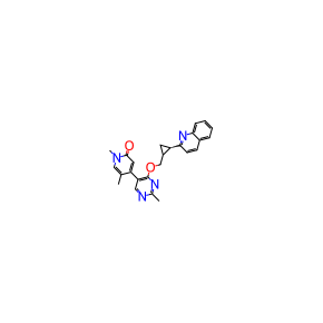 Cc1ncc(-c2cc(=O)n(C)cc2C)c(OCC2C[C@H]2c2ccc3ccccc3n2)n1